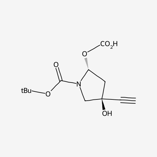 C#C[C@@]1(O)C[C@@H](OC(=O)O)N(C(=O)OC(C)(C)C)C1